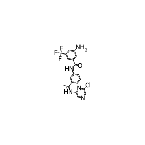 C[C@H](Nc1cncc(Cl)n1)c1cccc(NC(=O)c2cc(N)cc(C(F)(F)F)c2)c1